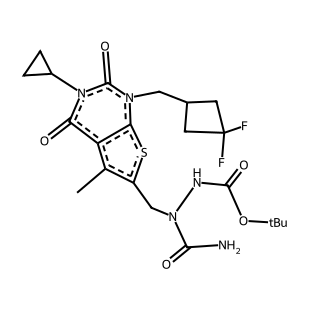 Cc1c(CN(NC(=O)OC(C)(C)C)C(N)=O)sc2c1c(=O)n(C1CC1)c(=O)n2CC1CC(F)(F)C1